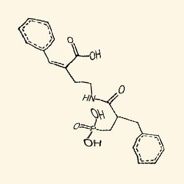 O=C(O)/C(=C\c1ccccc1)CCNC(=O)C(Cc1ccccc1)CP(=O)(O)O